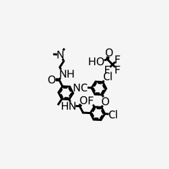 Cc1cc(C(=O)NCCN(C)C)ccc1NC(=O)Cc1ccc(Cl)c(Oc2cc(Cl)cc(C#N)c2)c1F.O=C(O)C(F)(F)F